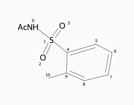 [CH2]C(=O)NS(=O)(=O)c1ccccc1C